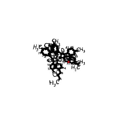 CCCCc1ccc(C(C)(OC(C)(c2ccc(CCCC)cc2)C2(c3ccc(Cl)cc3)OC2(Oc2ccc(C)cc2)c2ccc(C)cc2)C2(c3ccc(Cl)cc3)OC2(Oc2ccc(C)cc2)c2ccc(C)cc2)cc1